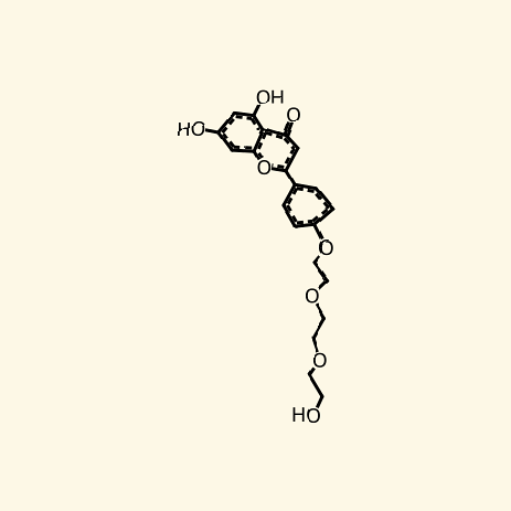 O=c1cc(-c2ccc(OCCOCCOCCO)cc2)oc2cc(O)cc(O)c12